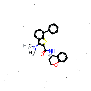 CN(C)c1c(C(=O)N[C@H]2CCOc3ccccc32)sc2c(-c3ccccc3)cccc12